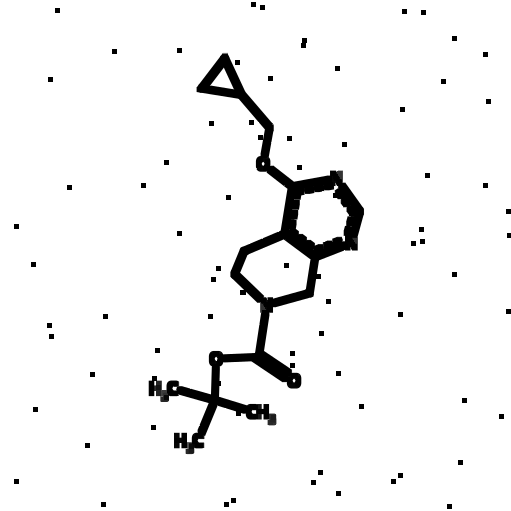 CC(C)(C)OC(=O)N1CCc2c(ncnc2OCC2CC2)C1